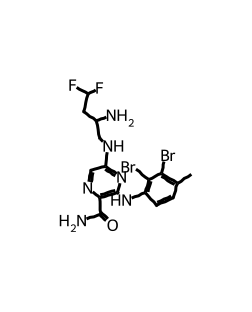 Cc1ccc(Nc2nc(NCC(N)CC(F)F)cnc2C(N)=O)c(Br)c1Br